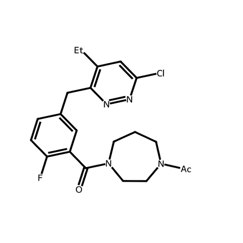 CCc1cc(Cl)nnc1Cc1ccc(F)c(C(=O)N2CCCN(C(C)=O)CC2)c1